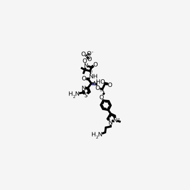 C[n+]1cc(-c2ccc(OC[C@H](O/N=C(/C(=O)N[C@@H]3C(=O)N(OS(=O)(=O)[O-])C3(C)C)c3csc(N)n3)C(=O)O)cc2)cn1CCCN